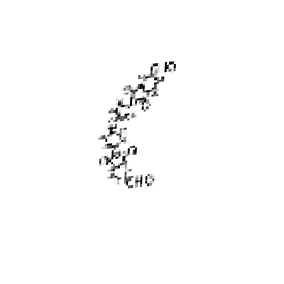 O=Cc1ccc2c(c1)C(=O)N(c1ccc(Oc3ccc(N4C(=O)c5ccc(C=O)cc5C4=O)cc3)cc1)C2=O